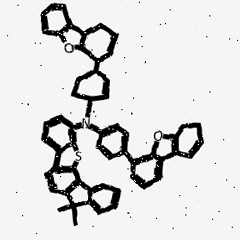 CC1(C)c2ccccc2-c2c1ccc1c2sc2c(N(c3ccc(-c4cccc5c6c(oc45)CCC=C6)cc3)C3C=CC(C4C=CCC5C6C=CC=CC6OC45)CC3)cccc21